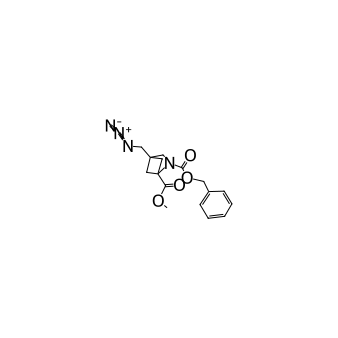 COC(=O)C12CC(CN=[N+]=[N-])(CN1C(=O)OCc1ccccc1)C2